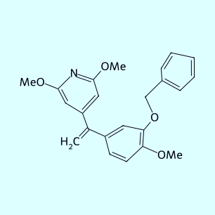 C=C(c1cc(OC)nc(OC)c1)c1ccc(OC)c(OCc2ccccc2)c1